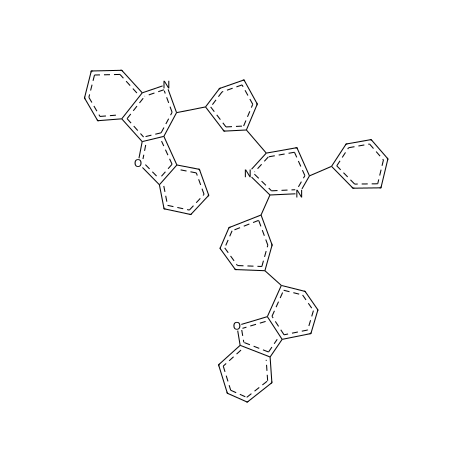 c1ccc(-c2cc(-c3cccc(-c4nc5ccccc5c5oc6ccccc6c45)c3)nc(-c3cccc(-c4cccc5c4oc4ccccc45)c3)n2)cc1